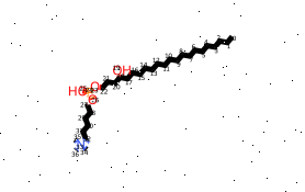 CCCCCCCCCCCCCCCCCCC(O)CCCOP(O)OCCCCCC[N+](C)(C)C